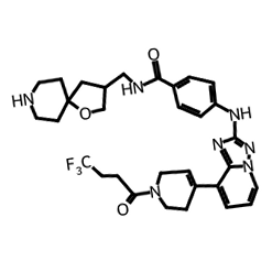 O=C(NCC1COC2(CCNCC2)C1)c1ccc(Nc2nc3c(C4=CCN(C(=O)CCC(F)(F)F)CC4)cccn3n2)cc1